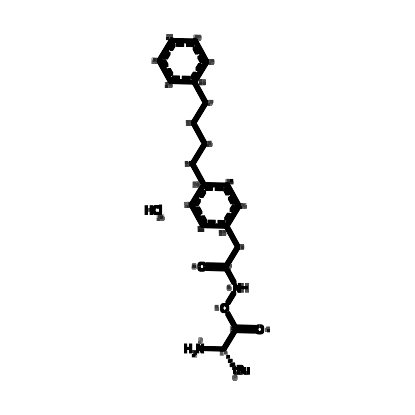 CC(C)(C)[C@H](N)C(=O)ONC(=O)Cc1ccc(CCCCc2ccccc2)cc1.Cl